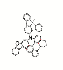 CC1(c2ccccc2)c2ccccc2-c2ccc(N(c3ccc4c(c3)oc3ccccc34)c3ccccc3-c3cccc4cccc(C5CCCCC5)c34)cc21